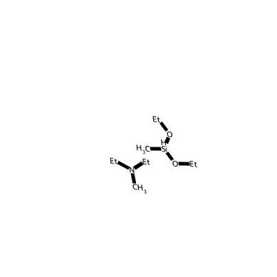 CCN(C)CC.CCO[SiH](C)OCC